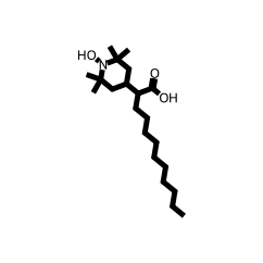 CCCCCCCCCCC(C(=O)O)C1CC(C)(C)N(O)C(C)(C)C1